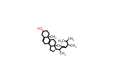 CC(C)[C@@H](C)/C=C/[C@@H](C)[C@H]1CCC2C3=C(CC[C@@]21C)[C@@]1(C)CC[C@H](O)CC1=CC3